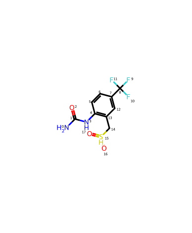 NC(=O)Nc1ccc(C(F)(F)F)cc1C[SH](=O)=O